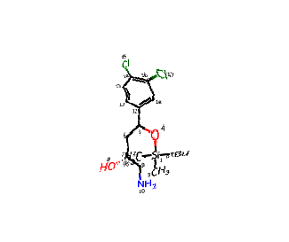 CC(C)(C)[Si](C)(C)OC(C[C@@H](O)CN)c1ccc(Cl)c(Cl)c1